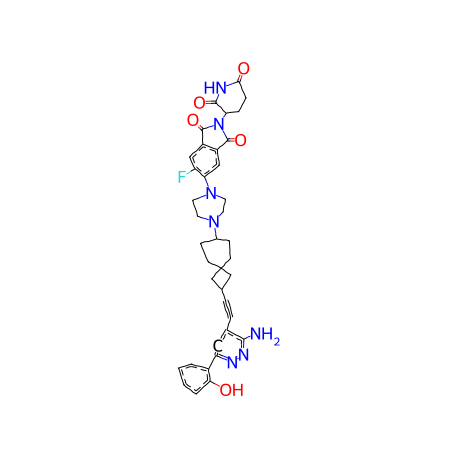 Nc1nnc(-c2ccccc2O)cc1C#CC1CC2(CCC(N3CCN(c4cc5c(cc4F)C(=O)N(C4CCC(=O)NC4=O)C5=O)CC3)CC2)C1